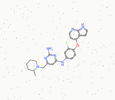 CC1CCCCN1Cc1cc(Nc2ccc(Oc3ccnc4[nH]ccc34)c(F)c2)nc(N)n1